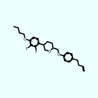 C=CCCc1ccc(OCC2CCC(c3ccc(OCCCC)c(F)c3F)CO2)cc1